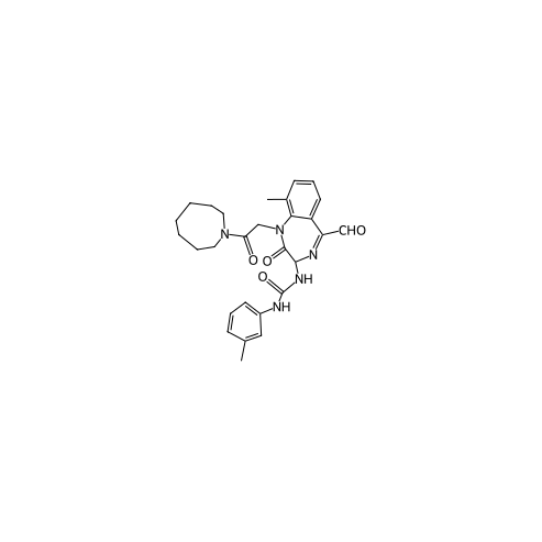 Cc1cccc(NC(=O)NC2N=C(C=O)c3cccc(C)c3N(CC(=O)N3CCCCCCC3)C2=O)c1